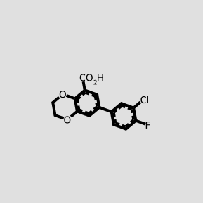 O=C(O)c1cc(-c2ccc(F)c(Cl)c2)cc2c1OCCO2